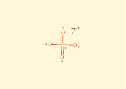 O=P([O-])([O-])[O-].[Eu+3]